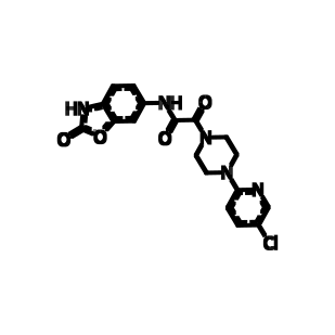 O=C(Nc1ccc2[nH]c(=O)oc2c1)C(=O)N1CCN(c2ccc(Cl)cn2)CC1